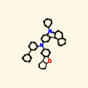 C1=CC2Oc3ccc(N(c4cccc(-c5ccccc5)c4)c4ccc5c(c4)c4c6ccccc6ccc4n5-c4ccccc4)cc3C2C=C1